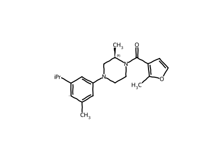 Cc1[c]c(C(C)C)cc(N2CCN(C(=O)c3ccoc3C)[C@H](C)C2)c1